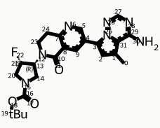 Cc1cc(-c2cnc3c(c2)C(=O)N([C@@H]2CN(C(=O)OC(C)(C)C)C[C@@H]2F)CC3)n2ncnc(N)c12